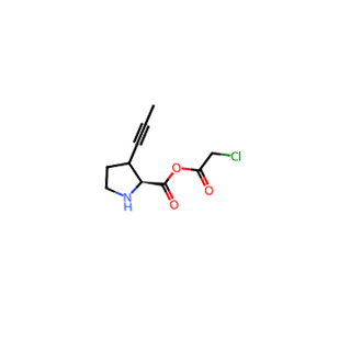 CC#CC1CCN[C@@H]1C(=O)OC(=O)CCl